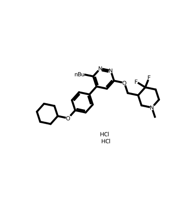 CCCCc1nnc(OCC2CN(C)CCC2(F)F)cc1-c1ccc(OC2CCCCC2)cc1.Cl.Cl